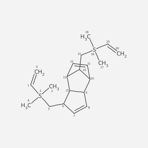 C=CS(C)(C)CC1C=CC2C3C=CC(C3CS(C)(C)C=C)C12